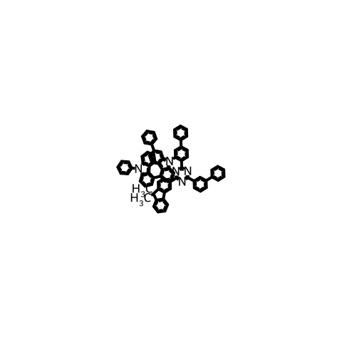 CC1(C)c2ccccc2-c2cc(-c3nc(-c4cccc(-c5ccccc5)c4)nc(-c4ccc(-c5ccccc5)cc4-n4c5cc(-c6ccccc6)ccc5c5c(-c6cccc7c6c6ccccc6n7-c6ccccc6)cccc54)n3)ccc21